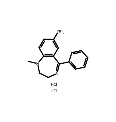 CN1CCN=C(c2ccccc2)c2cc(N)ccc21.Cl.Cl